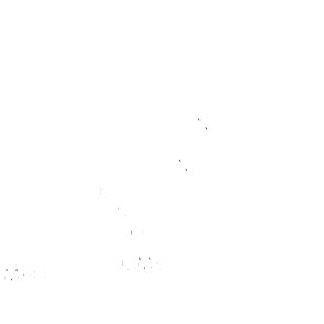 COc1ccc(S(=O)(=O)C2CCN(c3nc(Cc4cc(C)ccc4C)cs3)CC2)c(OC)c1